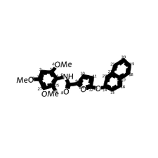 COc1cc(OC)c(NC(=O)c2ccc(Oc3ccc4ccccc4c3)o2)c(OC)c1